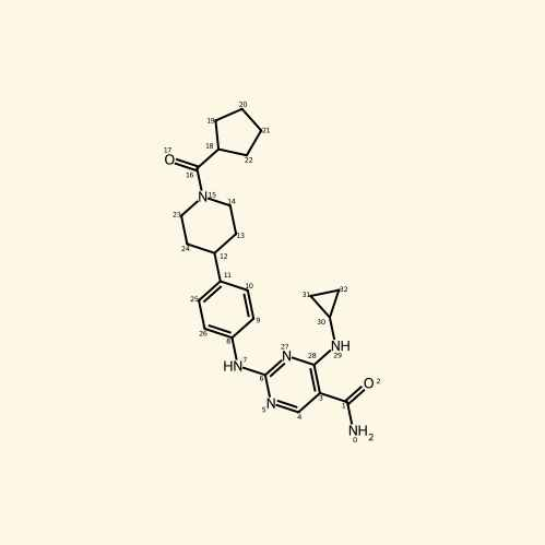 NC(=O)c1cnc(Nc2ccc(C3CCN(C(=O)C4CCCC4)CC3)cc2)nc1NC1CC1